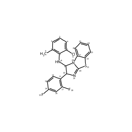 Cc1cccc(Cl)c1NC1C(c2ccc(F)cc2F)N=C2Sc3ccccc3N21